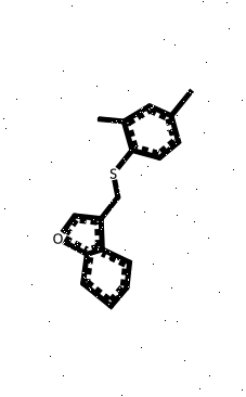 Cc1ccc(SCc2coc3ccccc23)c(C)c1